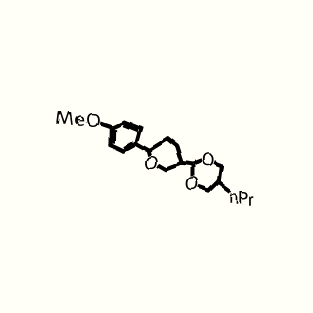 CCCC1COC(C2CCC(c3ccc(OC)cc3)OC2)OC1